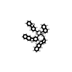 c1ccc2cc3c(cc2c1)oc1cc2c(cc13)C1=NC(c3ccc4c(c3)oc3ccccc34)=NC(c3cccc4ccccc34)[C@H]1Cc1ccc3c4cc5ccccc5cc4n-2c3c1